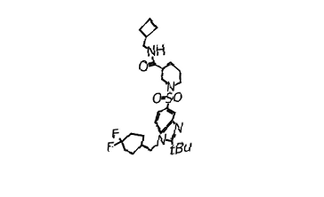 CC(C)(C)c1nc2cc(S(=O)(=O)N3CCC[C@H](C(=O)NCC4CCC4)C3)ccc2n1CC1CCC(F)(F)CC1